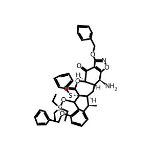 CC[Si](CC)(CC)OC1c2c(OCc3ccccc3)cccc2[C@H](C)[C@@H]2C[C@H]3[C@H](N)c4onc(OCc5ccccc5)c4C(=O)[C@@H]3OC(=O)[C@]12Sc1ccccc1